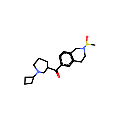 C[S+]([O-])N1CCc2cc(C(=O)C3CCCN(C4CCC4)C3)ccc2C1